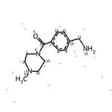 CN1CCN(C(=O)c2ccc(CN)cc2)CC1